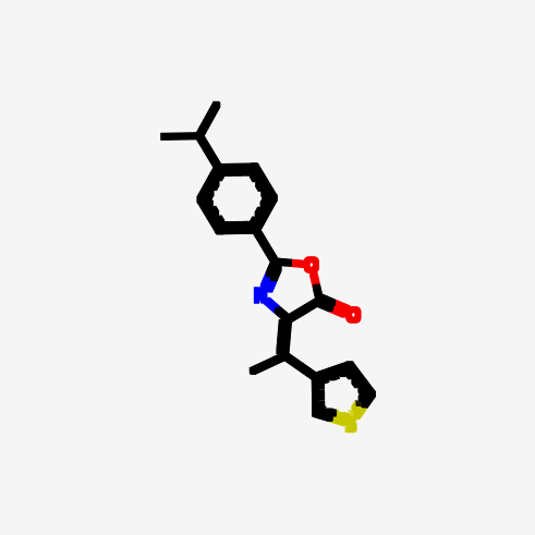 C/C(=C1\N=C(c2ccc(C(C)C)cc2)OC1=O)c1ccsc1